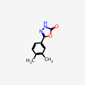 Cc1ccc(-c2n[nH]c(=O)o2)cc1C